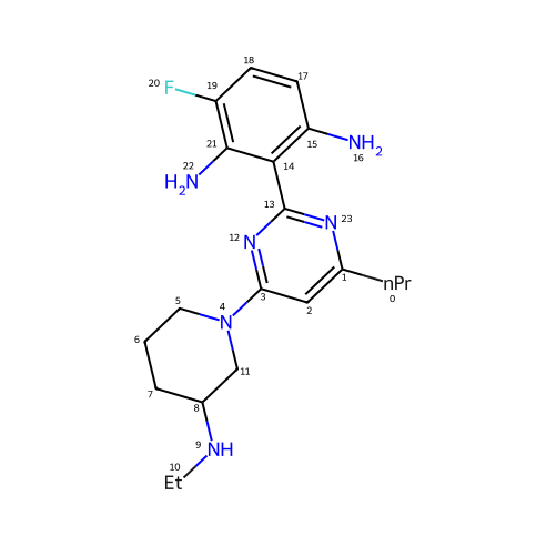 CCCc1cc(N2CCCC(NCC)C2)nc(-c2c(N)ccc(F)c2N)n1